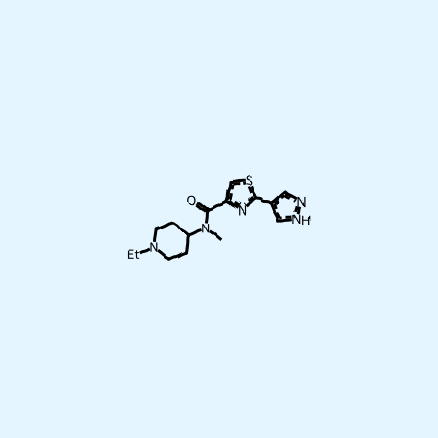 CCN1CCC(N(C)C(=O)c2csc(-c3cn[nH]c3)n2)CC1